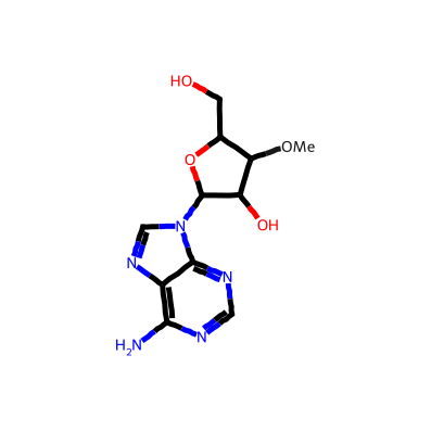 COC1C(CO)OC(n2cnc3c(N)ncnc32)C1O